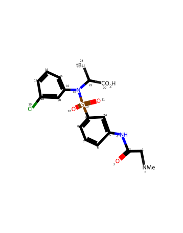 CNCC(=O)Nc1cccc(S(=O)(=O)N(c2cccc(Cl)c2)C(C(=O)O)C(C)(C)C)c1